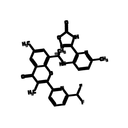 Cc1cc([C@@H](C)Nc2ccc(C)nc2-c2noc(=O)[nH]2)c2oc(-c3cccc(C(F)F)n3)c(C)c(=O)c2c1